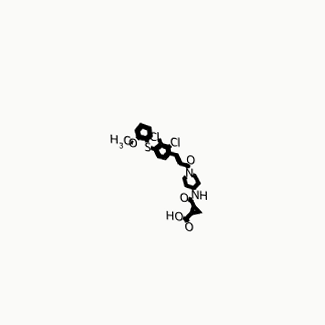 COc1ccccc1Sc1ccc(/C=C/C(=O)N2CCC(NC(=O)C3CC3C(=O)O)CC2)c(Cl)c1Cl